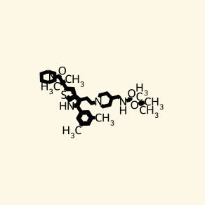 Cc1cc(C)cc(-c2[nH]c3sc(C(C)(C)C(=O)N4C5CCC4CC5)cc3c2CCN2CCC(CNC(=O)OC(C)(C)C)CC2)c1